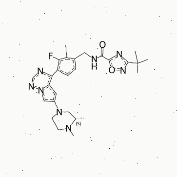 Cc1c(CNC(=O)c2nc(C(C)(C)C)no2)ccc(-c2ncnn3cc(N4CCN(C)[C@@H](C)C4)cc23)c1F